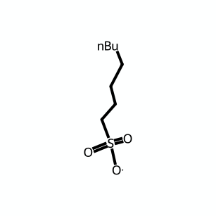 CCCCCCCCS([O])(=O)=O